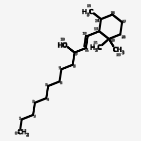 CCCCCCCCCC(O)C=CC1C(C)CCCC1(C)C